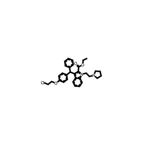 CCOC(=O)c1c(C(c2ccccc2)c2ccc(OCCCl)cc2)c2ccccc2n1CCN1CCCC1